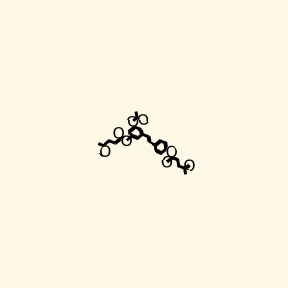 CC(=O)CCC(=O)Oc1ccc(C=Cc2cc(OC(C)=O)cc(OC(=O)CCC(C)=O)c2)cc1